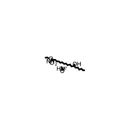 CCCCCCC(O)CCCCCCCCCCC(=O)OC(N)CC.C[NH+](C)[O-]